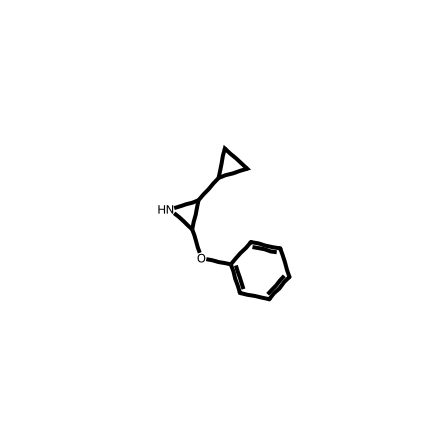 c1ccc(OC2NC2C2CC2)cc1